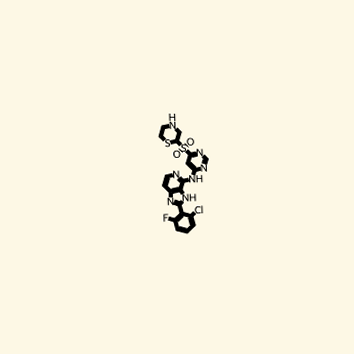 O=S(=O)(c1cc(Nc2nccc3nc(-c4c(F)cccc4Cl)[nH]c23)ncn1)C1CNCCS1